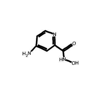 Nc1ccnc(C(=O)NO)c1